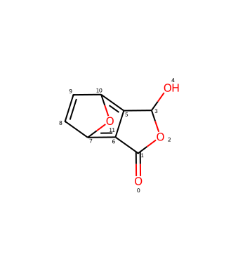 O=C1OC(O)c2c1c1ccc2o1